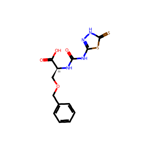 O=C(Nc1n[nH]c(=S)s1)N[C@@H](COCc1ccccc1)C(=O)O